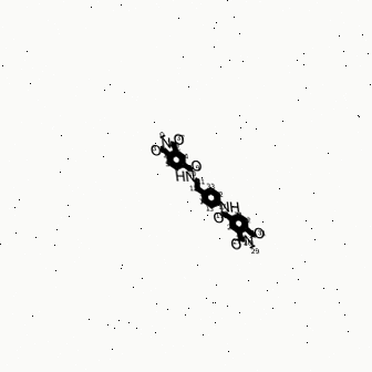 CN1C(=O)c2ccc(C(=O)NCCc3ccc(NC(=O)c4ccc5c(c4)C(=O)N(C)C5=O)cc3)cc2C1=O